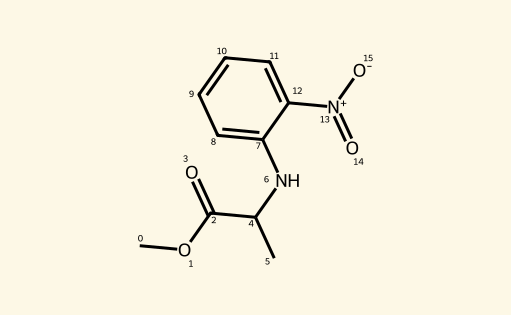 COC(=O)C(C)Nc1ccccc1[N+](=O)[O-]